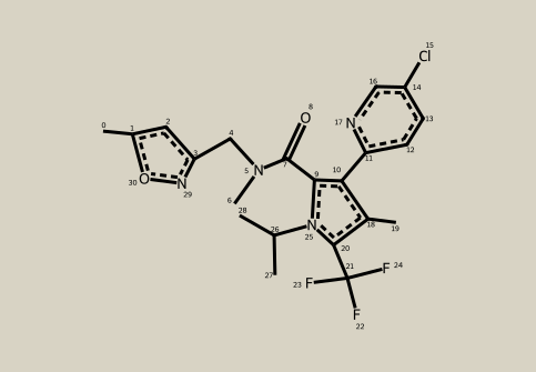 Cc1cc(CN(C)C(=O)c2c(-c3ccc(Cl)cn3)c(C)c(C(F)(F)F)n2C(C)C)no1